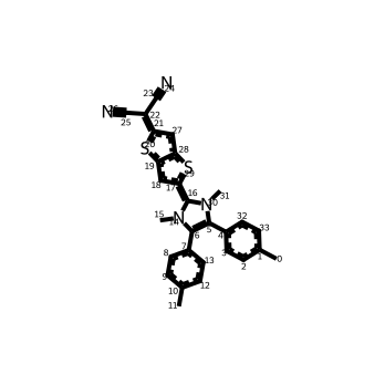 Cc1ccc(C2=C(c3ccc(C)cc3)N(C)C(=c3cc4sc(=C(C#N)C#N)cc4s3)N2C)cc1